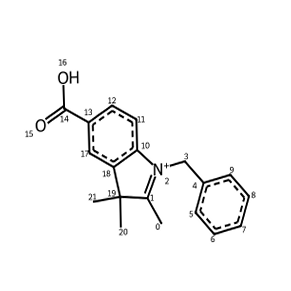 CC1=[N+](Cc2ccccc2)c2ccc(C(=O)O)cc2C1(C)C